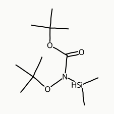 C[SiH](C)N(OC(C)(C)C)C(=O)OC(C)(C)C